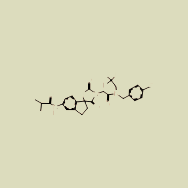 CC(C)C(=O)Nc1ccc2c(c1)CCC21OC(=O)N(CC(=O)N(Cc2ccc(F)cc2)[C@@H](C)C(F)(F)F)C1=O